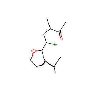 CC(=O)C(C)CC(Br)C1OCCC1C(C)C